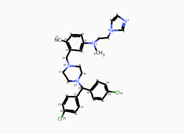 CN(CCn1ccnc1)c1ccc(C#N)c(CN2CCN(C(c3ccc(Cl)cc3)c3ccc(Cl)cc3)CC2)c1